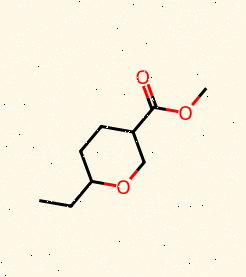 CCC1CCC(C(=O)OC)CO1